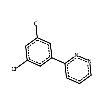 Clc1cc(Cl)cc(-c2cc[c]nn2)c1